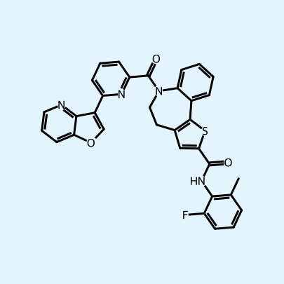 Cc1cccc(F)c1NC(=O)c1cc2c(s1)-c1ccccc1N(C(=O)c1cccc(-c3coc4cccnc34)n1)CC2